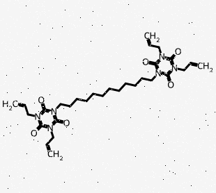 C=CCn1c(=O)n(CC=C)c(=O)n(CCCCCCCCCCCCn2c(=O)n(CC=C)c(=O)n(CC=C)c2=O)c1=O